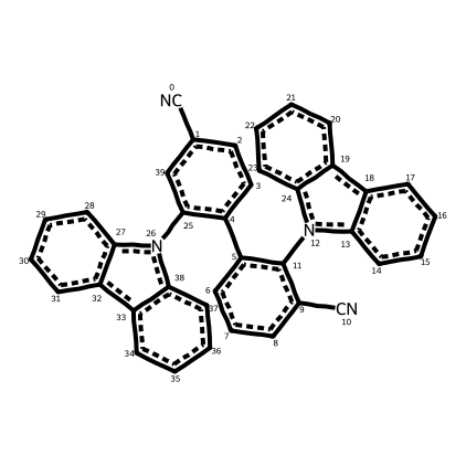 N#Cc1ccc(-c2cccc(C#N)c2-n2c3ccccc3c3ccccc32)c(-n2c3ccccc3c3ccccc32)c1